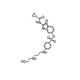 O=C(Nc1nc2cc(OS(=O)(=O)c3ccc(NCCCNCCO)cc3)ccc2[nH]1)C1CC1